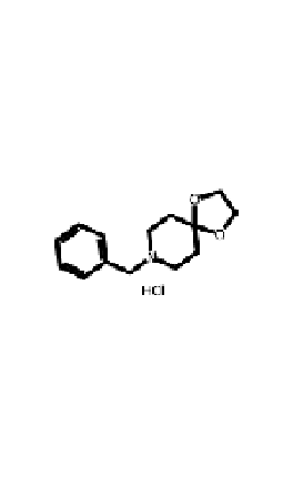 Cl.c1ccc(CN2CCC3(CC2)OCCO3)cc1